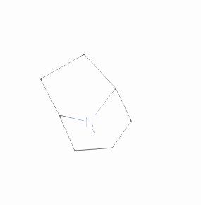 C[C@@H]1CCC2CCC1N2C